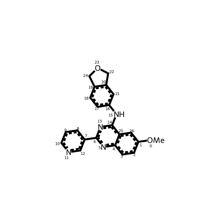 COc1ccc2nc(-c3cccnc3)nc(Nc3ccc4c(c3)COC4)c2c1